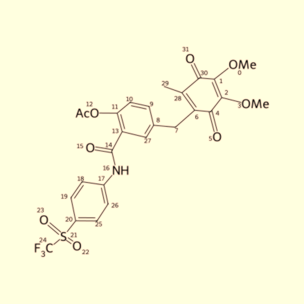 COC1=C(OC)C(=O)C(Cc2ccc(OC(C)=O)c(C(=O)Nc3ccc(S(=O)(=O)C(F)(F)F)cc3)c2)=C(C)C1=O